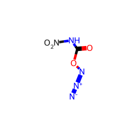 [N-]=[N+]=NOC(=O)N[N+](=O)[O-]